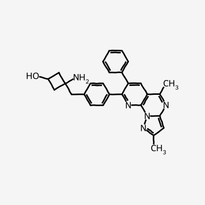 Cc1cc2nc(C)c3cc(-c4ccccc4)c(-c4ccc(CC5(N)CC(O)C5)cc4)nc3n2n1